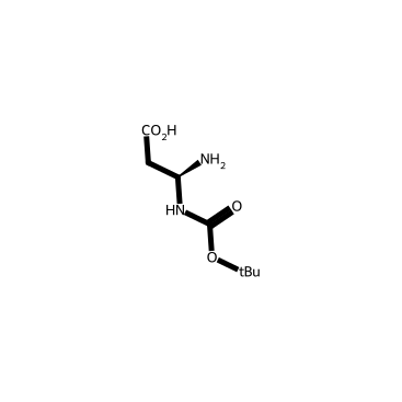 CC(C)(C)OC(=O)N[C@H](N)CC(=O)O